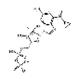 CN(c1nc(N)nc2c1ncn2[C@@H]1O[C@H](COP(=O)(O)OP(=O)(O)O)[C@@H](O)[C@@]1(C)O)C1CC1